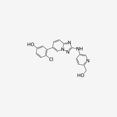 OCc1ccc(Nc2nc3ccc(-c4cc(O)ccc4Cl)cn3n2)cn1